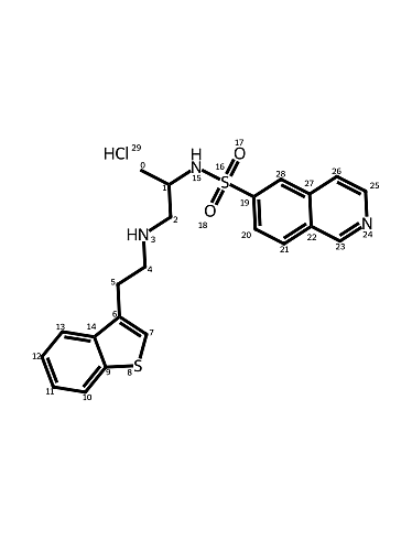 CC(CNCCc1csc2ccccc12)NS(=O)(=O)c1ccc2cnccc2c1.Cl